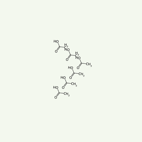 CC(=O)O.CC(=O)O.CC(=O)O.CC(=O)O.CC(=O)O.CC(=O)O